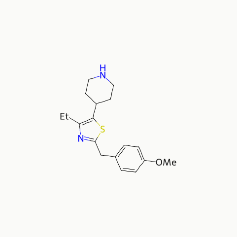 CCc1nc(Cc2ccc(OC)cc2)sc1C1CCNCC1